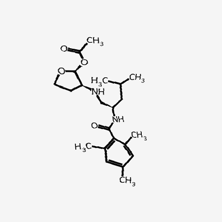 CC(=O)O[C@@H]1OCC[C@@H]1NC[C@@H](CC(C)C)NC(=O)c1c(C)cc(C)cc1C